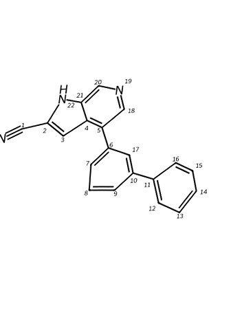 N#Cc1cc2c(-c3cccc(-c4ccccc4)c3)cncc2[nH]1